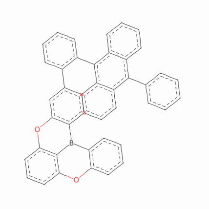 c1ccc(-c2c3ccccc3c(-c3ccccc3-c3ccc4c(c3)Oc3cccc5c3B4c3ccccc3O5)c3ccccc23)cc1